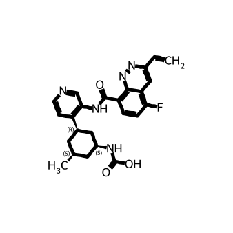 C=Cc1cc2c(F)ccc(C(=O)Nc3cnccc3[C@@H]3C[C@H](C)C[C@H](NC(=O)O)C3)c2nn1